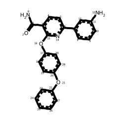 NC(=O)c1ccc(-c2cccc(N)c2)nc1Oc1ccc(Oc2ccccc2)cc1